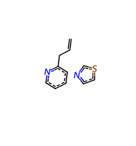 C=CCc1ccccn1.c1cscn1